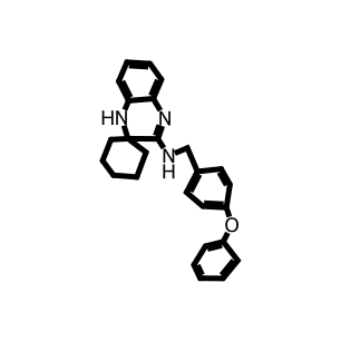 c1ccc(Oc2ccc(CNC3=Nc4ccccc4NC34CCCCC4)cc2)cc1